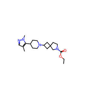 CCOC(=O)N1CCC2(CC(N3CCC(c4c(C)cnn4C)CC3)C2)C1